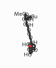 COC(=O)CNC(=O)[C@H](CCC(=O)NCCCOCCOCCOCCCNC(=O)C1=CC2=C(C=CC1)C(=O)OC21c2ccc(O)cc2Oc2cc(O)ccc21)NC(=O)OC(C)(C)C